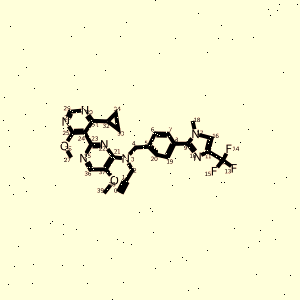 C#CCN(Cc1ccc(-c2nc(C(F)(F)F)cn2C)cc1)c1nc(-c2c(OC)ncnc2C2CC2)ncc1OC